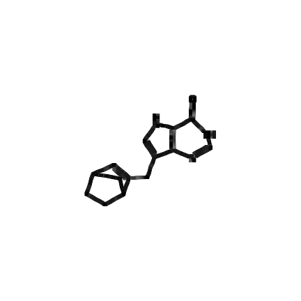 O=c1[nH]cnc2c(CC3=CC4CCC3C4)c[nH]c12